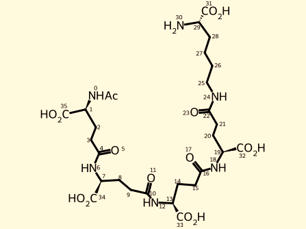 CC(=O)N[C@@H](CCC(=O)N[C@@H](CCC(=O)N[C@@H](CCC(=O)N[C@@H](CCC(=O)NCCCC[C@H](N)C(=O)O)C(=O)O)C(=O)O)C(=O)O)C(=O)O